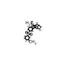 Cc1cccc(S(=O)(=O)c2ccc3c(c2)c2c(n3C)CC3CCC2N3)c1